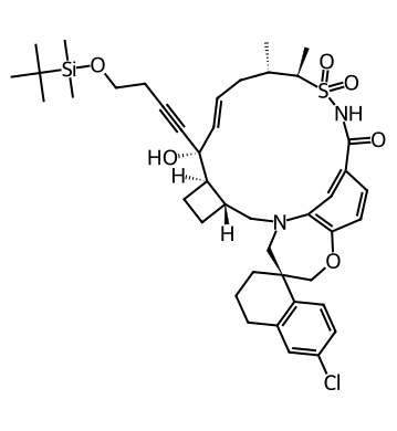 C[C@@H]1[C@@H](C)C/C=C/[C@](O)(C#CCCO[Si](C)(C)C(C)(C)C)[C@@H]2CC[C@H]2CN2C[C@@]3(CCCc4cc(Cl)ccc43)COc3ccc(cc32)C(=O)NS1(=O)=O